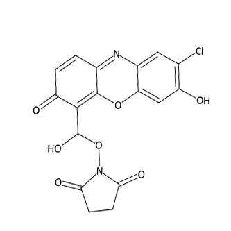 O=C1CCC(=O)N1OC(O)c1c2oc3cc(O)c(Cl)cc3nc-2ccc1=O